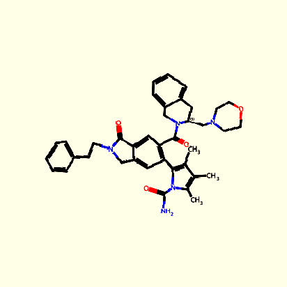 Cc1c(C)c(-c2cc3c(cc2C(=O)N2Cc4ccccc4C[C@H]2CN2CCOCC2)C(=O)N(CCc2ccccc2)C3)n(C(N)=O)c1C